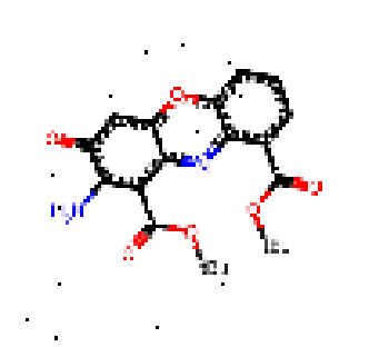 CC(C)(C)OC(=O)c1c2nc3c(C(=O)OC(C)(C)C)cccc3oc-2cc(=O)c1N